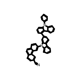 N#Cc1ccc2ccc3ccc(-n4c5ccccc5c5ccc(-c6cccc7c6c6ccccc6n7-c6ccccc6)cc54)cc3c2c1